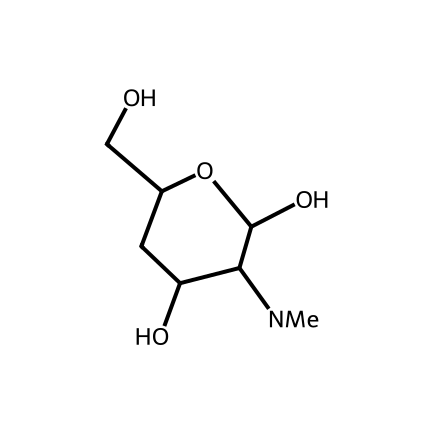 CNC1C(O)CC(CO)OC1O